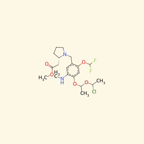 CNc1cc(CN2CCC[C@H]2CC(=O)OC)c(OC(F)F)cc1OC(C)OC(C)Cl